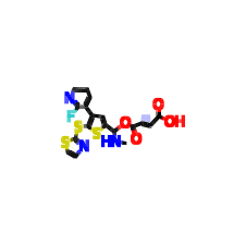 CNC(OC(=O)/C=C/C(=O)O)c1cc(-c2cccnc2F)c(Sc2nccs2)s1